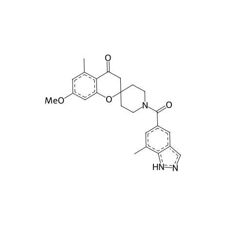 COc1cc(C)c2c(c1)OC1(CCN(C(=O)c3cc(C)c4[nH]ncc4c3)CC1)CC2=O